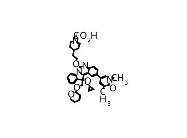 Cc1cc(-c2ccc3nc(OCCC4CCN(C(=O)O)CC4)nc(C(COC4CCCCO4)(OC4CC4)c4ccccc4)c3c2)cn(C)c1=O